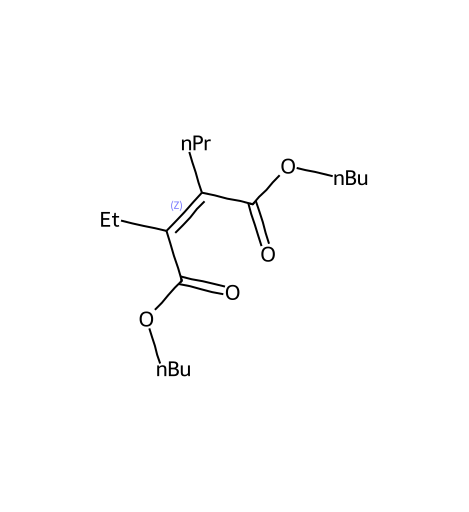 CCCCOC(=O)/C(CC)=C(/CCC)C(=O)OCCCC